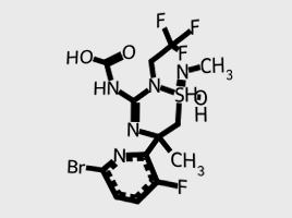 CN=[SH]1(O)CC(C)(c2nc(Br)ccc2F)N=C(NC(=O)O)N1CC(F)(F)F